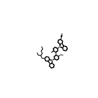 CCCCC(CC)Cc1ccc2c(c1)c1ccccc1n2-c1ccc(O)c(-c2cc(-n3c4ccccc4c4cc(C#N)ccc43)ccc2C)c1